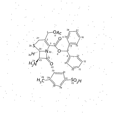 CC(=O)OCC1=C(C(=O)OC(c2ccccc2)c2ccccc2)N2C(=O)[C@@H](N)[C@H]2SC1.Cc1ccc(S(=O)(=O)O)cc1